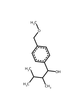 COCc1ccc(C(O)C(C)C(C)C)cc1